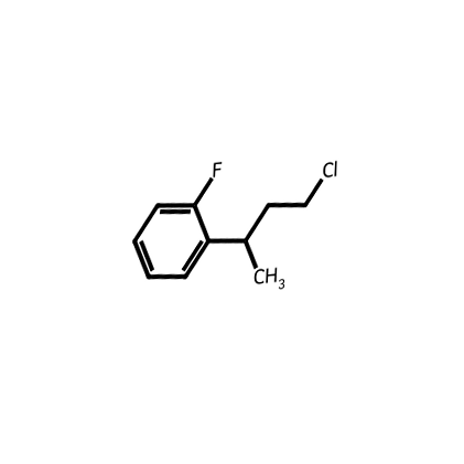 CC(CCCl)c1ccccc1F